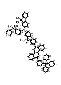 CC1(C)c2ccccc2-c2ccc(N(c3ccc4c(c3)C(C)(C)c3ccccc3-4)c3ccc4c(c3)C(C)(C)c3cc(-c5cc6c7ccccc7c(-c7cccc8c7-c7ccccc7C8(c7ccccc7)c7ccccc7)cc6c6ccccc56)ccc3-4)cc21